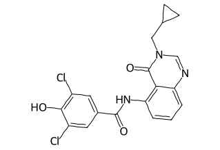 O=C(Nc1cccc2ncn(CC3CC3)c(=O)c12)c1cc(Cl)c(O)c(Cl)c1